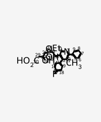 CCc1nc(-c2ccccc2)c(C)c(-c2ccc(F)cc2)c1CCP(=O)(O)CC(O)CC(=O)O